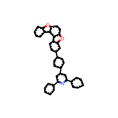 c1ccc(-c2cc(-c3ccc(-c4ccc5c(c4)oc4ccc6oc7ccccc7c6c45)cc3)cc(-c3ccccc3)n2)cc1